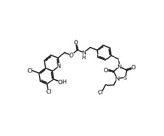 O=C(NCc1ccc(Cn2c(=O)sn(CCCl)c2=O)cc1)OCc1ccc2c(Cl)cc(Cl)c(O)c2n1